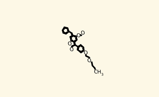 CCCCOCCOc1ccc(C2=c3cc(OC=O)/c(=C/c4ccccc4)cc3OC2=O)cc1